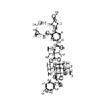 BC(B)(OC(=O)C(CC)(CC)NC(=O)c1ccc(N2CC(OC)C2)c(OC[C@H]2C[C@@H]2CO)n1)C(B)(B)C(B)(B)OS(=O)(=O)c1ccc(C)cc1